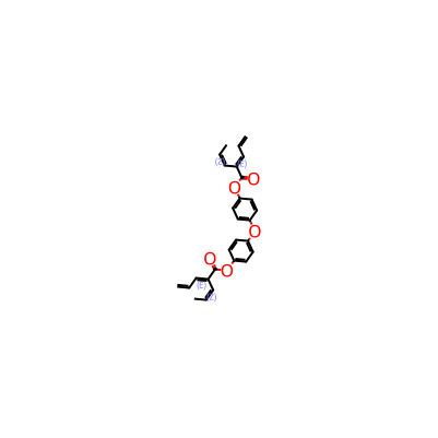 C=C/C=C(\C=C/C)C(=O)Oc1ccc(Oc2ccc(OC(=O)C(/C=C\C)=C/C=C)cc2)cc1